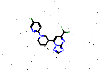 C[C@@H]1CCN(c2ccc(Cl)cn2)CC1c1cc(C(F)F)nc2ncnn12